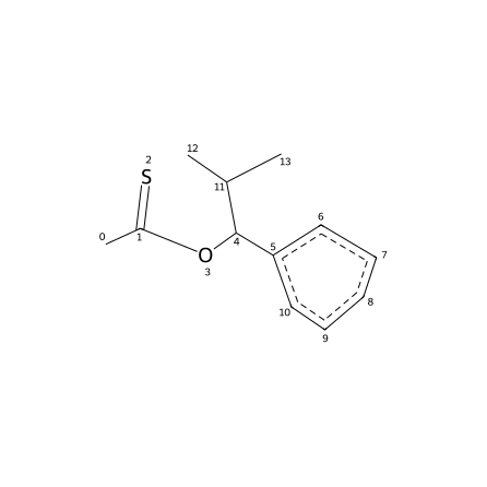 CC(=S)OC(c1ccccc1)C(C)C